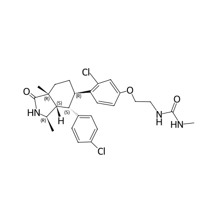 CNC(=O)NCCOc1ccc([C@@H]2CC[C@@]3(C)C(=O)N[C@H](C)[C@H]3[C@H]2c2ccc(Cl)cc2)c(Cl)c1